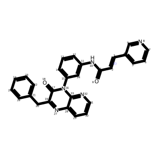 O=C(/C=C/c1cccnc1)Nc1cccc(-n2c(=O)c(Cc3ccccc3)nc3cccnc32)c1